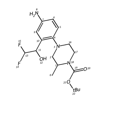 CC1CN(c2ccc(N)cc2C(O)C(F)F)CCN1C(=O)OC(C)(C)C